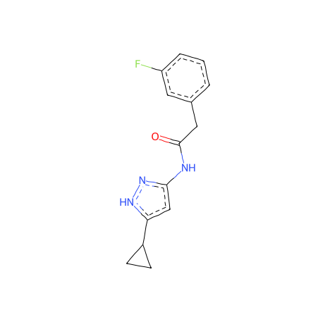 O=C(Cc1cccc(F)c1)Nc1cc(C2CC2)[nH]n1